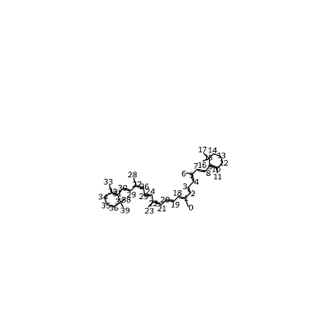 CC(C=CC=C(C)C=CC1=C(C)CCCC1(C)C)=CC=CC=C(C)C=CC=C(C)C=CC1=C(C)CCCC1(C)C